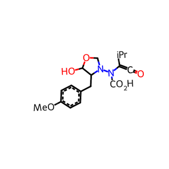 COc1ccc(CC2C(O)OCN2N(C(=O)O)C(=C=O)C(C)C)cc1